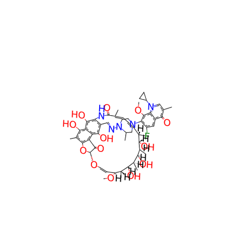 COc1c(N2CCN(/N=C/c3c4c(O)c5c(O)c(C)c6c(c5c3O)C(=O)[C@@](C)(O/C=C/[C@H](OC)[C@@H](C)[C@@H](O)[C@H](C)[C@H](O)[C@H](C)[C@@H](O)[C@@H](C)/C=C/C=C(/C)C(=O)N4)O6)C(C)C2)c(F)cc2c(=O)c(C)cn(C3CC3)c12